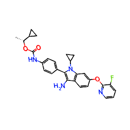 C[C@@H](OC(=O)Nc1ccc(-c2c(N)c3ccc(Oc4ncccc4F)cc3n2C2CC2)cc1)C1CC1